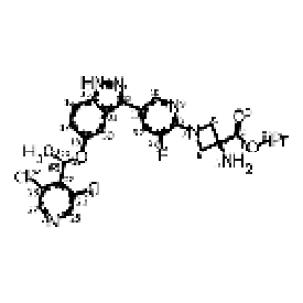 CC(C)OC(=O)C1(N)CN(c2ncc(-c3n[nH]c4ccc(O[C@H](C)c5c(Cl)cncc5Cl)cc34)cc2F)C1